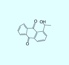 CC(O)c1cccc2c1C(=O)c1ccccc1C2=O